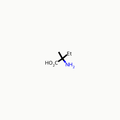 [CH2]CC(C)(N)C(=O)O